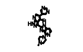 CN1CCN(c2nccc3[nH]c(-c4n[nH]c5ncc(-c6cncnc6)c(F)c45)nc23)CC1